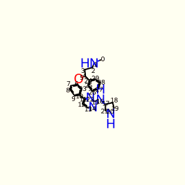 CNCCC(Oc1cccc(-c2ccnc(N[C@@H]3CCNC3)n2)c1)c1ccccc1